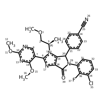 COC[C@@H](C)n1c(-c2cnc(OC)nc2OC)nc2c1C(c1ccc(C#N)cc1)N(c1cccc(Cl)c1F)C2=O